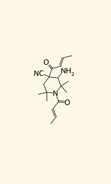 CC=CC(=O)N1C(C)(C)CC(C#N)(C(=O)C=CC)C(N)C1(C)C